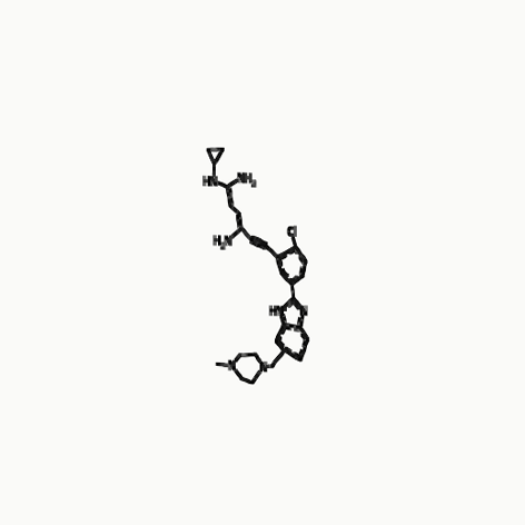 CN1CCN(Cc2ccc3nc(-c4ccc(Cl)c(C#C/C(N)=C/C=C(\N)NC5CC5)c4)[nH]c3c2)CC1